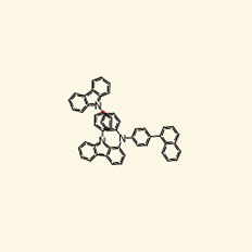 c1ccc(-n2c3ccccc3c3cccc(N(c4ccc(-c5cccc6ccccc56)cc4)c4ccc(-n5c6ccccc6c6ccccc65)cc4)c32)cc1